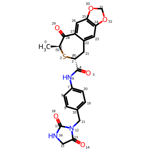 C[C@@H]1S[C@@H](C(=O)Nc2ccc(CN3C(=O)CNC3=O)cc2)Cc2cc3c(cc2C1=O)OCO3